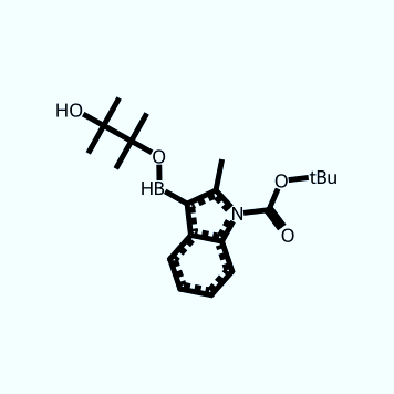 Cc1c(BOC(C)(C)C(C)(C)O)c2ccccc2n1C(=O)OC(C)(C)C